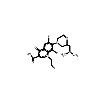 CN(C)CC1CN(c2c(F)cc3c(=O)c(C(=O)O)cn(CCF)c3c2F)CCO1